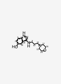 Oc1ccc2[nH]nc(NCCCN3CCOCC3)c2c1